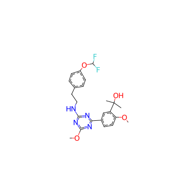 COc1nc(NCCc2ccc(OC(F)F)cc2)nc(-c2ccc(OC)c(C(C)(C)O)c2)n1